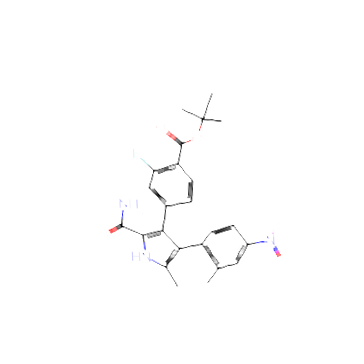 Cc1cc([N+](=O)[O-])ccc1-c1c(C)[nH]c(C(N)=O)c1-c1ccc(C(=O)OC(C)(C)C)c(F)c1